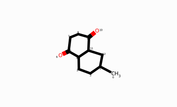 CC1CCC2C(=O)CCC(=O)C2C1